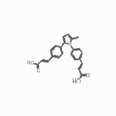 Cc1ccc(-c2ccc(C=CC(=O)O)cc2)n1-c1ccc(C=CC(=O)O)cc1